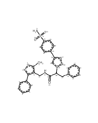 Cc1onc(-c2ccccc2)c1CNC(=O)C(Cc1ccccc1)n1cc(-c2ccc(S(N)(=O)=O)cc2)nn1